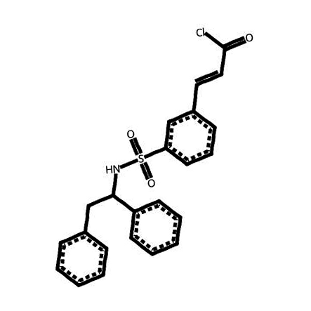 O=C(Cl)C=Cc1cccc(S(=O)(=O)NC(Cc2ccccc2)c2ccccc2)c1